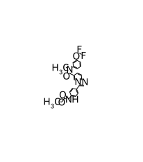 COC(=O)Nc1ccc(-c2cnc3ccc(C(=O)N(C)c4cccc(OC(F)F)c4)cn23)cc1